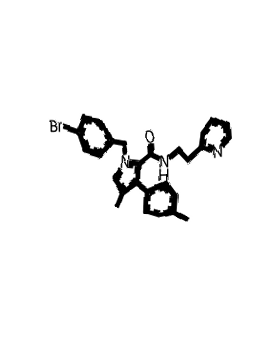 Cc1ccc(-c2c(C)cn(Cc3ccc(Br)cc3)c2C(=O)NCCc2ccccn2)cc1